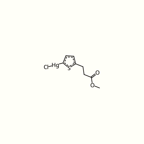 COC(=O)CCc1cc[c]([Hg][Cl])s1